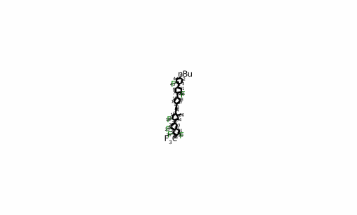 CCCCc1ccc(-c2ccc(-c3ccc(C#Cc4cc(F)c(-c5cc(F)c6c(F)c(C(F)(F)F)c(F)cc6c5)cc4C)cc3)c(F)c2)c(F)c1